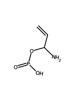 C=CC(N)O[P](=O)O